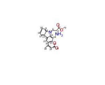 COC(=O)[C@H](N)Cn1c2ccccc2c2cc3c(C)cc(=O)oc3cc21